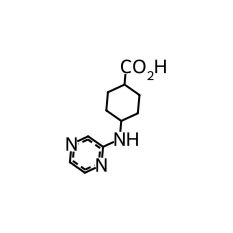 O=C(O)C1CCC(Nc2cnccn2)CC1